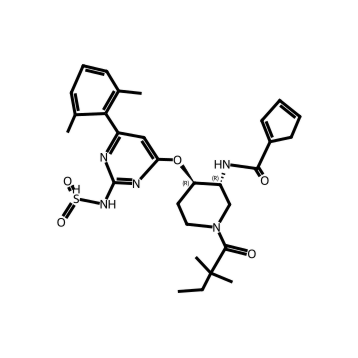 CCC(C)(C)C(=O)N1CC[C@@H](Oc2cc(-c3c(C)cccc3C)nc(N[SH](=O)=O)n2)[C@H](NC(=O)C2=CC=CC2)C1